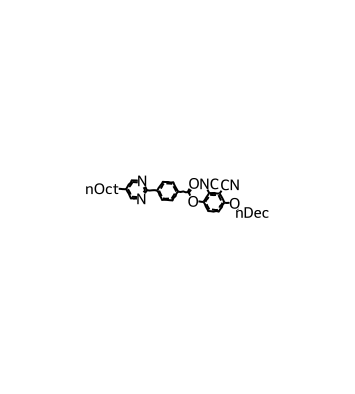 CCCCCCCCCCOc1ccc(OC(=O)c2ccc(-c3ncc(CCCCCCCC)cn3)cc2)c(C#N)c1C#N